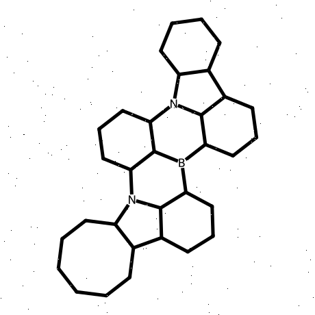 C1CCCC2C(CC1)C1CCCC3B4C5CCCC6C7CCCCC7N(C7CCCC(C47)N2C31)C56